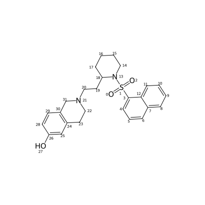 O=S(=O)(c1cccc2ccccc12)N1CCCCC1CCN1CCc2cc(O)ccc2C1